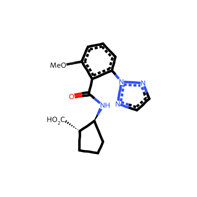 COc1cccc(-n2nccn2)c1C(=O)N[C@H]1CCC[C@@H]1C(=O)O